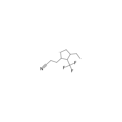 [CH2]CC1C[CH]C(CCC#N)C1C(F)(F)F